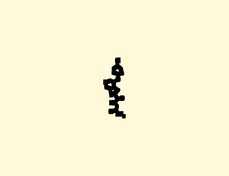 NC(=O)CNC(=O)c1cc2c(Oc3ccc(Cl)cc3)cncc2s1